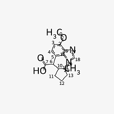 COc1ccc(C(C(=O)O)C2CCCC2)c2c1ncn2C